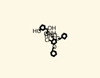 O=C(NNC(=O)C(O)c1cccc(O)c1)c1c(Cl)cc(OCc2ccccc2)cc1OCc1ccccc1